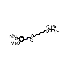 CCCCOc1ccc(/C=C/C(=O)OCCCCCCOC(=O)C(C)(CC(C)C)C(C)(C)C)cc1OC